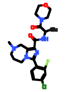 CN1CCCn2c(-c3ccc(Cl)cc3F)nc(C(=O)NC(C(=O)N3CCOCC3)C(C)(C)C)c2C1